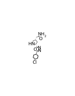 NC(=O)C[C@H]1CN[C@@H](c2nnc(-c3ccc(Cl)cc3)o2)C1